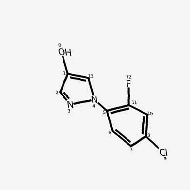 Oc1cnn(-c2ccc(Cl)cc2F)c1